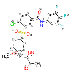 CC(O)C(O)C[C@@]1(O)C2C[C@@H](S(=O)(=O)c3cc(C(=O)Nc4cc(F)c(F)c(F)c4)ccc3Cl)CC1[C@@H](C)C2